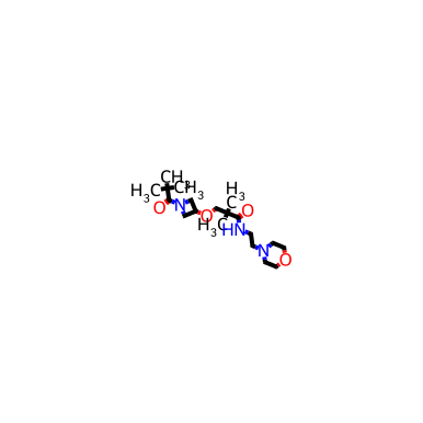 CC(C)(C)C(=O)N1CC(OCC(C)(C)C(=O)NCCN2CCOCC2)C1